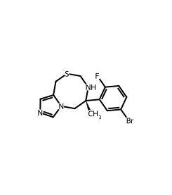 C[C@@]1(c2cc(Br)ccc2F)Cn2cncc2CSCN1